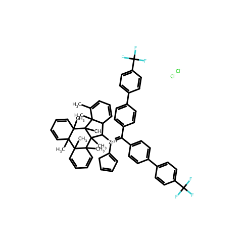 CC1=CC=CC2[CH]([Zr+2]([C]3=CC=CC3)=[C](c3ccc(-c4ccc(C(F)(F)F)cc4)cc3)c3ccc(-c4ccc(C(F)(F)F)cc4)cc3)C3(C)C4(C)C=CC=CC4(C)C4(C)C=CC=CC4(C)C3(C)C12C.[Cl-].[Cl-]